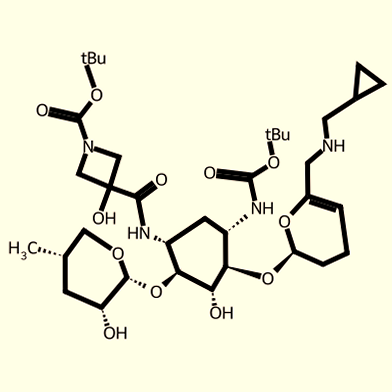 C[C@@H]1CO[C@H](O[C@@H]2[C@@H](O)[C@H](O[C@@H]3CCC=C(CNCC4CC4)O3)[C@@H](NC(=O)OC(C)(C)C)C[C@H]2NC(=O)C2(O)CN(C(=O)OC(C)(C)C)C2)[C@H](O)C1